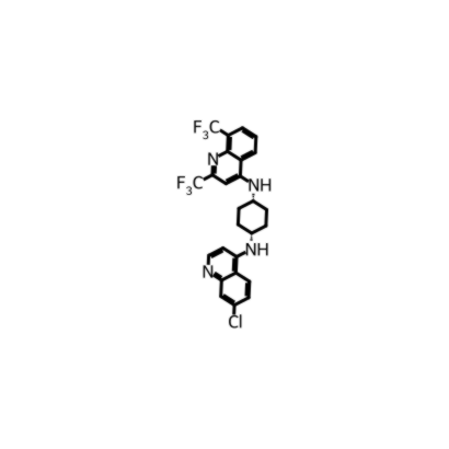 FC(F)(F)c1cc(N[C@H]2CC[C@@H](Nc3ccnc4cc(Cl)ccc34)CC2)c2cccc(C(F)(F)F)c2n1